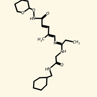 CC\C(=N/C=C(C)/C=C/C(=O)NOC1CCCCO1)NCC(=O)NCC1CCCCC1